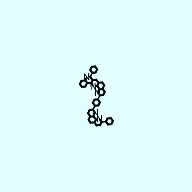 c1ccc(-c2ccc3ccc4ccc(-c5ccc(-c6ccc7ccc8cc9c(-c%10ccccc%10)nc%10ccccc%10c9nc8c7n6)cc5)nc4c3n2)cc1